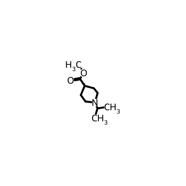 COC(=O)[C]1CCN(C(C)C)CC1